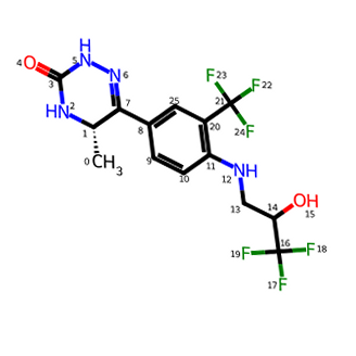 C[C@@H]1NC(=O)NN=C1c1ccc(NCC(O)C(F)(F)F)c(C(F)(F)F)c1